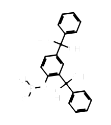 CC(C)(c1ccccc1)c1ccc(OP(Cl)Cl)c(C(C)(C)c2ccccc2)c1